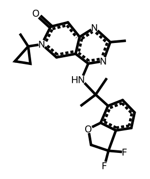 Cc1nc(NC(C)(C)c2cccc3c2OCC3(F)F)c2cn(C3(C)CC3)c(=O)cc2n1